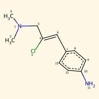 CN(C)C/C(Cl)=C/c1ccc(N)cc1